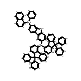 c1ccc(N(c2ccc3c(c2)sc2ccc(N(c4cccc5c4-c4ccccc4C5(c4ccccc4)c4ccccc4)c4cccc5c4-c4ccccc4C5(c4ccccc4)c4ccccc4)cc23)c2cccc3ccccc23)cc1